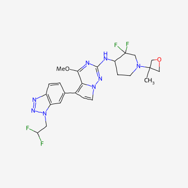 COc1nc(NC2CCN(C3(C)COC3)CC2(F)F)nn2ccc(-c3ccc4nnn(CC(F)F)c4c3)c12